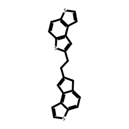 C1=C(CCc2cc3c(ccc4sccc43)s2)Cc2ccc3sccc3c21